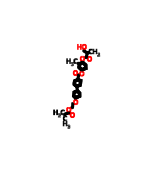 C=C(C)C(=O)OCCOc1ccc(-c2ccc(C(=O)Oc3ccc(OC(=O)C(=C)CO)c(C)c3)cc2)cc1